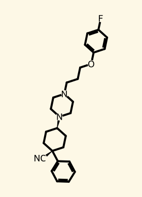 N#C[C@]1(c2ccccc2)CC[C@H](N2CCN(CCCOc3ccc(F)cc3)CC2)CC1